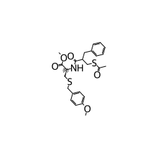 COC(=O)[C@H](CSCc1ccc(OC)cc1)NC(=O)C(CSC(C)=O)Cc1ccccc1